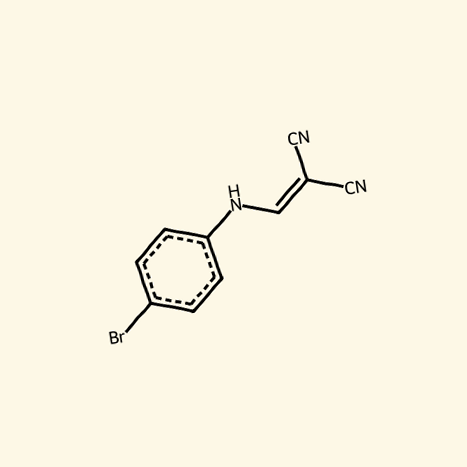 N#CC(C#N)=CNc1ccc(Br)cc1